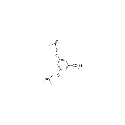 C=C(C)COc1cc(OCC(=C)C)cc(C(=O)O)c1